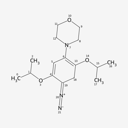 CC(C)OC1=CC(N2CCOCC2)=C(OC(C)C)CC1=[N+]=[N-]